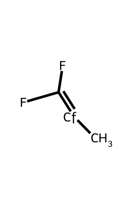 [CH3][Cf]=[C](F)F